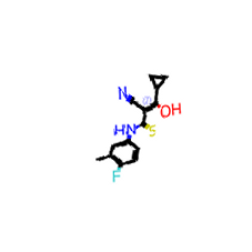 Cc1cc(NC(=S)/C(C#N)=C(\O)C2CC2)ccc1F